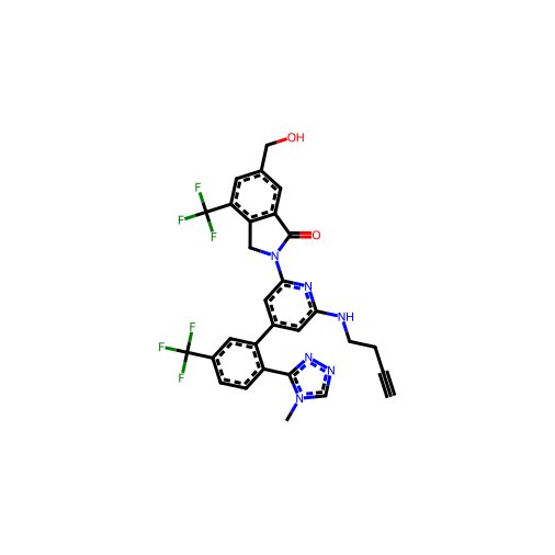 C#CCCNc1cc(-c2cc(C(F)(F)F)ccc2-c2nncn2C)cc(N2Cc3c(cc(CO)cc3C(F)(F)F)C2=O)n1